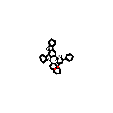 c1ccc(-c2cc(-c3ccccc3)nc(-c3cc4c5ccccc5oc4c4c5ccccc5n(-c5ccccc5)c34)n2)cc1